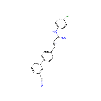 N#Cc1cccc(-c2ccc(/C=C/C(=N)Nc3ccc(Cl)cc3)cc2)c1